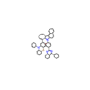 C1=Cc2c(n(-c3ccc(-c4nc(-c5ccccc5)c5ccccc5n4)cc3)c3ccc4ccccc4c23)C(c2ccc3c(c2)N(c2ccccc2)c2ccccc2S3)=CC1